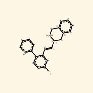 Fc1ccc(-c2c[c]ccn2)c(N=C[C@@H]2Cc3ccccc3CN2)c1